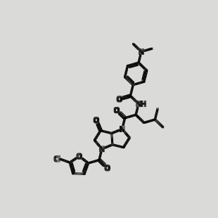 CC(C)CC(NC(=O)c1ccc(N(C)C)cc1)C(=O)N1CCC2C1C(=O)CN2C(=O)c1ccc(Cl)o1